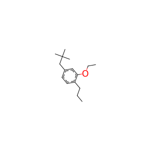 CCCc1ccc(CC(C)(C)C)cc1OCC